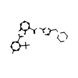 O=C(Nc1nc(CN2CCOCC2)cs1)c1cccc2nc(-c3ccc(F)cc3C(F)(F)F)oc12